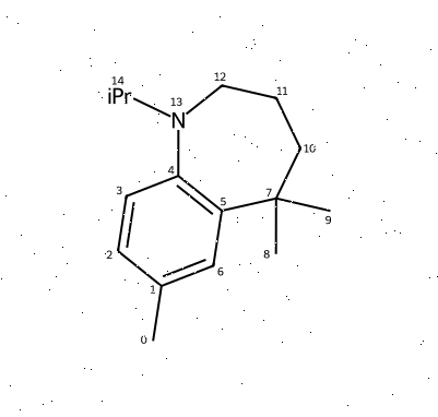 Cc1ccc2c(c1)C(C)(C)CCCN2C(C)C